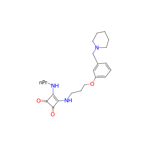 CCCNc1c(NCCCOc2cccc(CN3CCCCC3)c2)c(=O)c1=O